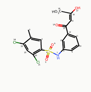 Cc1cc(S(=O)(=O)Nc2cccc(C(=O)/C=C(/O)C(=O)O)c2)c(Cl)cc1Cl